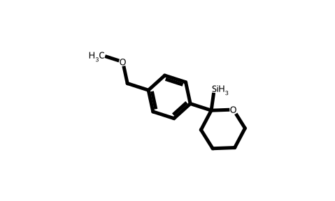 COCc1ccc(C2([SiH3])CCCCO2)cc1